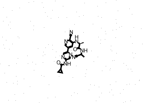 CC(C#N)NC(=O)[C@H](C)Nc1cc(-c2cnc(NC(=O)C3CC3)cn2)cnc1C#N